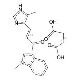 Cc1[nH]cnc1/C=C/C(=O)c1cn(C)c2ccccc12.O=C(O)/C=C\C(=O)O